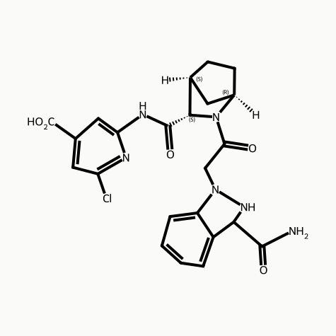 NC(=O)C1NN(CC(=O)N2[C@@H]3CC[C@@H](C3)[C@H]2C(=O)Nc2cc(C(=O)O)cc(Cl)n2)c2ccccc21